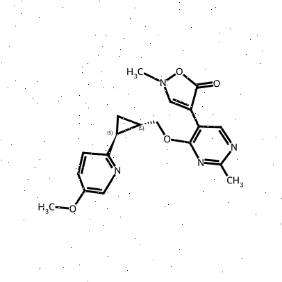 COc1ccc([C@H]2C[C@@H]2COc2nc(C)ncc2-c2cn(C)oc2=O)nc1